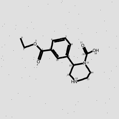 CCOC(=O)c1cccc(C2CNCCN2C(=O)O)c1